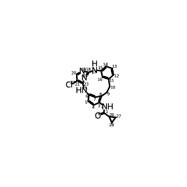 O=C(Nc1ccc2cc1CCc1cccc(c1)Nc1ncc(Cl)c(n1)N2)C1CC1